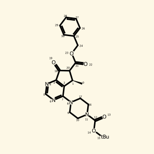 C[C@H]1c2c(ncnc2N2CCN(C(=O)OC(C)(C)C)CC2)C(=O)C1C(=O)OCc1ccccc1